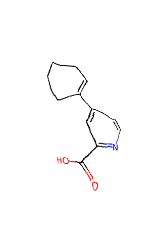 O=C(O)c1cc(C2=CCCCC2)ccn1